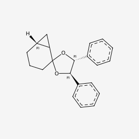 c1ccc([C@H]2OC3(CCC[C@@H]4CC43)O[C@@H]2c2ccccc2)cc1